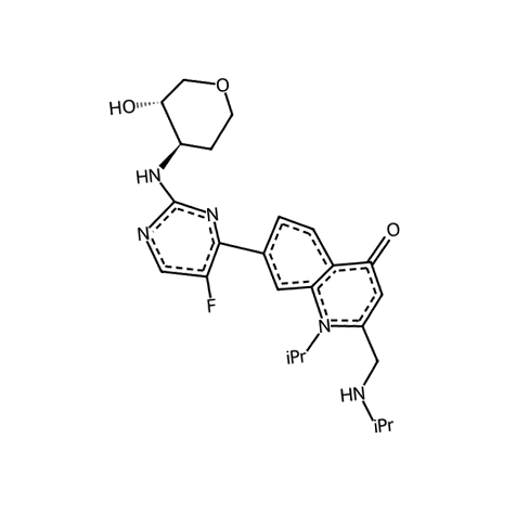 CC(C)NCc1cc(=O)c2ccc(-c3nc(N[C@@H]4CCOC[C@H]4O)ncc3F)cc2n1C(C)C